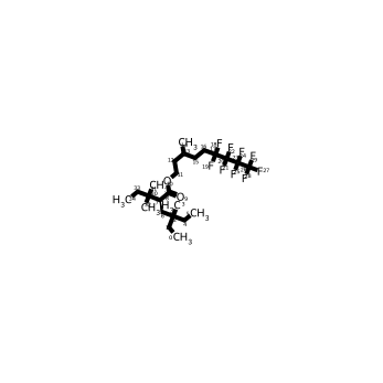 CCC(C)(CC)C[C@H](C(=O)OCCC(C)CCC(F)(F)C(F)(F)C(F)(F)C(F)(F)F)C(C)(C)CC